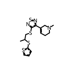 CC(CSc1nsnc1C1=CCCN(C)C1)Sc1cccs1